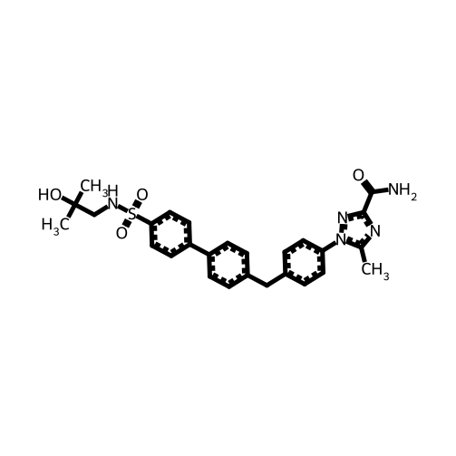 Cc1nc(C(N)=O)nn1-c1ccc(Cc2ccc(-c3ccc(S(=O)(=O)NCC(C)(C)O)cc3)cc2)cc1